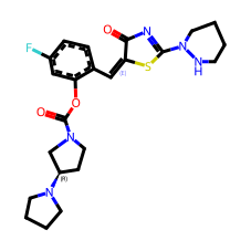 O=C1N=C(N2CCCCN2)S/C1=C/c1ccc(F)cc1OC(=O)N1CC[C@@H](N2CCCC2)C1